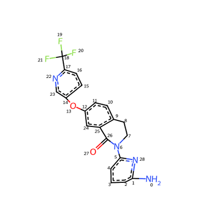 Nc1cccc(N2CCc3ccc(Oc4ccc(C(F)(F)F)nc4)cc3C2=O)n1